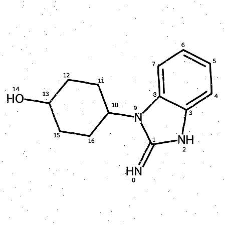 N=c1[nH]c2ccccc2n1C1CCC(O)CC1